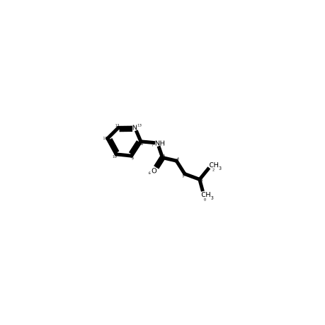 CC(C)CCC(=O)Nc1ccccn1